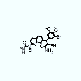 CNC(=O)N(S)c1ccc2ccc3c(c2n1)OC(N)=C(C#N)C3c1cc(Br)c(OC)c(OC)c1